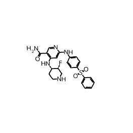 NC(=O)c1cnc(Nc2ccc(S(=O)(=O)c3ccccc3)cc2)cc1N[C@@H]1CCNC[C@@H]1F